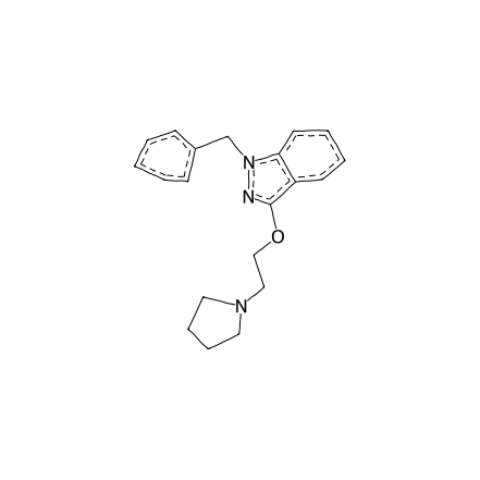 c1ccc(Cn2nc(OCCN3CCCC3)c3ccccc32)cc1